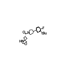 CC(C)(C)c1cc(C2CCN(C(=O)[C@H]3C[C@]4(COCN4)C3)CC2)ccc1F